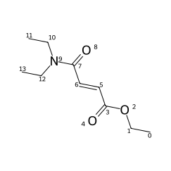 CCOC(=O)C=CC(=O)N(CC)CC